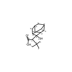 CC(C)(C)C(C(=O)O)C1(S)C2CC3CC(C2)CC1C3